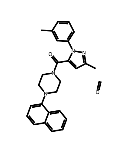 C=O.Cc1cccc(-n2nc(C)cc2C(=O)N2CCN(c3cccc4ccccc34)CC2)c1